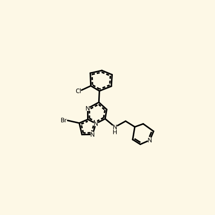 Clc1ccccc1-c1cc(NCC2C=CN=CC2)n2ncc(Br)c2n1